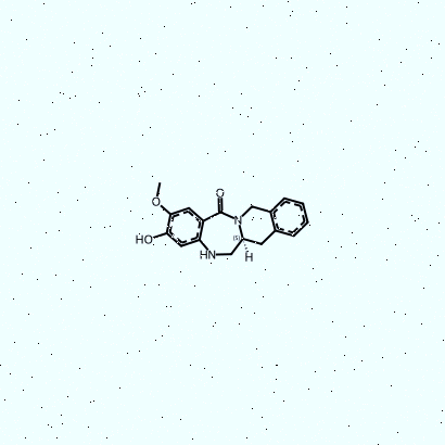 COc1cc2c(cc1O)NC[C@@H]1Cc3ccccc3CN1C2=O